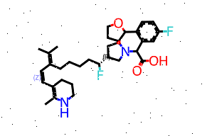 CC(C)=C(/C=C\C1=C(C)NCCC1)CCCCC(F)[C@@H]1CCN(C(C(=O)O)c2cc(F)ccc2C2CCCO2)C1